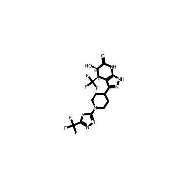 O=C1Nc2[nH]nc(C3CCN(c4nnc(C(F)(F)F)s4)CC3)c2[C@@H](C(F)(F)F)[C@H]1O